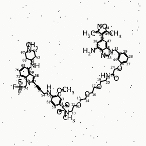 COc1cc(S(=O)(=O)N(C)CCOCCOCCOCCNC(=O)COc2cccc(Cn3cnc4c(N)cc(-c5c(C)noc5C)cc43)c2)ccc1NCC#Cc1cc2c(NC3CCN(C)CC3)cccc2n1CC(F)(F)F